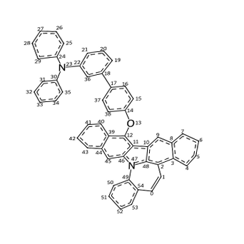 C1=Cc2c3ccccc3cc3c4c(Oc5ccc(-c6cccc(N(c7ccccc7)c7ccccc7)c6)cc5)c5ccccc5cc4n(c23)-c2ccccc21